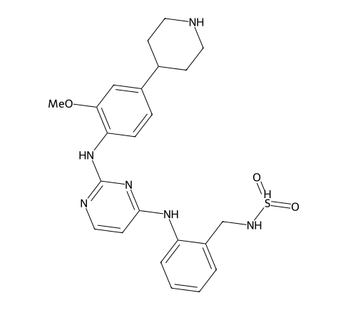 COc1cc(C2CCNCC2)ccc1Nc1nccc(Nc2ccccc2CN[SH](=O)=O)n1